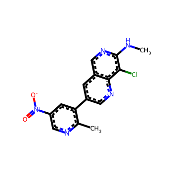 CNc1ncc2cc(-c3cc([N+](=O)[O-])cnc3C)cnc2c1Cl